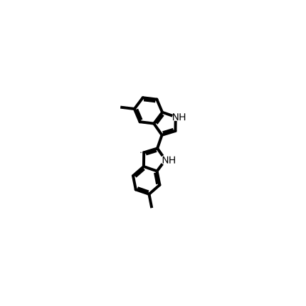 Cc1ccc2[c]c(-c3c[nH]c4ccc(C)cc34)[nH]c2c1